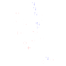 COC(=O)C1=CC(N=[N+]=[N-])[C@@H](NC(C)=O)C([C@@H](OC(=O)Oc2ccc([N+](=O)[O-])cc2)[C@@H](O)COO)O1